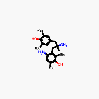 CC(N)(Cc1cc(C(C)(C)C)c(O)c(C(C)(C)C)c1)Cc1c(N)cc(C(C)(C)C)c(O)c1C(C)(C)C